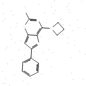 Cc1nc(N2CCC2)c2nc(-c3ccccc3)cc-2[nH]1